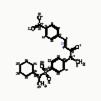 CN(C(=O)/C=C/c1ccc([N+](=O)[O-])cc1)c1ccc(S(=O)(=O)N(C)C2CCCCC2)cc1